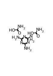 NC(=O)O.NC(=O)O.Nc1nc(N)nc(N)n1